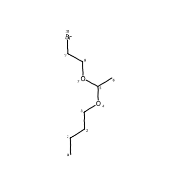 CCCCOC(C)OCCBr